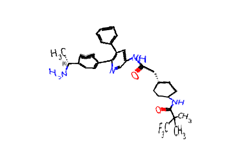 C[C@@H](N)c1ccc(-c2ncc(NC(=O)C[C@H]3CC[C@H](NC(=O)C(C)(C)C(F)(F)F)CC3)cc2-c2ccccc2)cc1